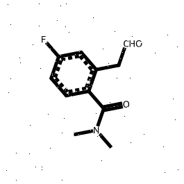 CN(C)C(=O)c1ccc(F)cc1CC=O